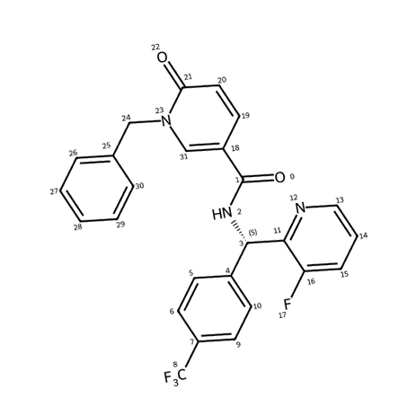 O=C(N[C@@H](c1ccc(C(F)(F)F)cc1)c1ncccc1F)c1ccc(=O)n(Cc2ccccc2)c1